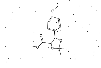 COC(=O)C1OC(C)(C)O[C@@H]1c1ccc(OC)cc1